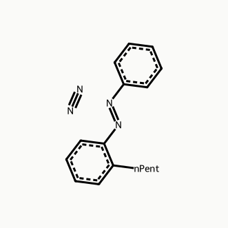 CCCCCc1ccccc1N=Nc1ccccc1.N#N